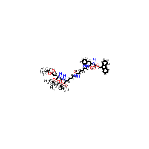 CC(C)(C)OC(=O)CC[C@H](NC(=O)NC(CCCCNC(=O)CCCCCNC(=O)C(Cc1ccccc1)NC(=O)OCC1c2ccccc2-c2ccccc21)C(=O)OC(C)(C)C)C(=O)OC(C)(C)C